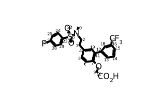 CN(CCc1ccc(OCC(=O)O)c(-c2cccc(C(F)(F)F)c2)c1)S(=O)(=O)c1ccc(F)cc1